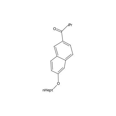 CCCCCCCOc1ccc2cc(C(=O)C(C)C)ccc2c1